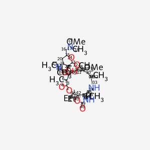 CC[C@H]1OC(=O)C(C)C(=O)[C@H](C)[C@@H](OC2OC(CN(C)OC)CC(N(C)C)C2O)[C@](C)(OC)C[C@@H](C)CN[C@H](C)[C@H]2NC(=O)O[C@@]21CC